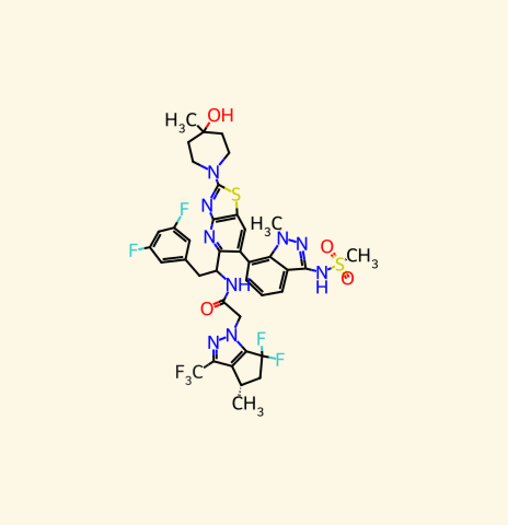 C[C@H]1CC(F)(F)c2c1c(C(F)(F)F)nn2CC(=O)NC(Cc1cc(F)cc(F)c1)c1nc2nc(N3CCC(C)(O)CC3)sc2cc1-c1cccc2c(NS(C)(=O)=O)nn(C)c12